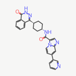 O=C(N[C@H]1CC[C@H](c2n[nH]c(=O)c3ccccc32)CC1)c1cnc2cc(-c3cccnc3)ccn12